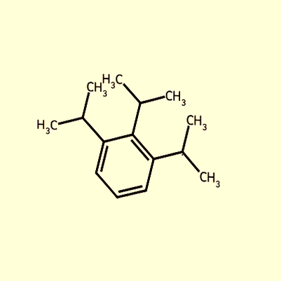 C[C](C)c1cccc(C(C)C)c1C(C)C